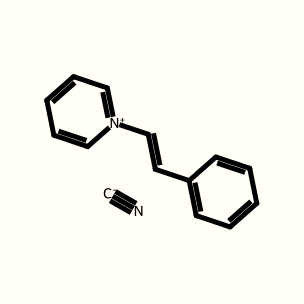 C(=C\[n+]1ccccc1)/c1ccccc1.[C-]#N